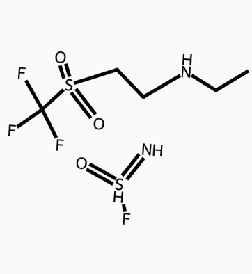 CCNCCS(=O)(=O)C(F)(F)F.N=[SH](=O)F